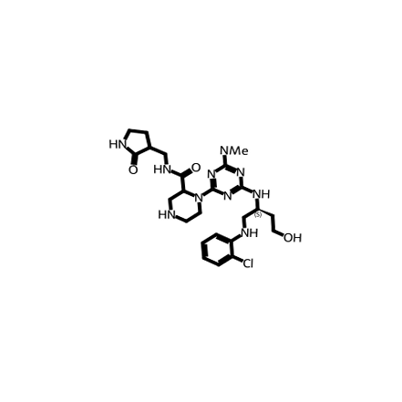 CNc1nc(N[C@@H](CCO)CNc2ccccc2Cl)nc(N2CCNCC2C(=O)NCC2CCNC2=O)n1